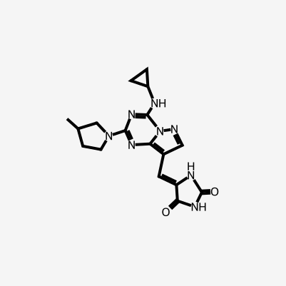 CC1CCN(c2nc(NC3CC3)n3ncc(/C=C4\NC(=O)NC4=O)c3n2)C1